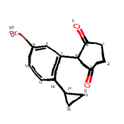 O=C1CCC(=O)C1c1cc(Br)ccc1C1CC1